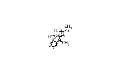 C=C(/C=C(\C)N(C)c1ccccc1C)CC